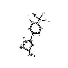 Nc1cc(-c2ccc(C(F)(F)F)c(F)c2)n[nH]1